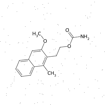 COc1cc2ccccc2c(C)c1CCOC(N)=O